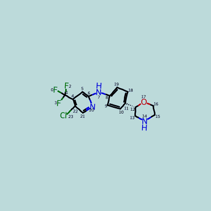 FC(F)(F)c1cc(Nc2ccc([C@H]3CNCCO3)cc2)ncc1Cl